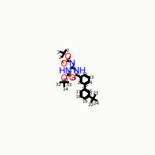 CC(C)(C)OC(=O)/N=C(/NCc1cccc(-c2cccc(C(C)(C)C)c2)c1)NC(=O)OC(C)(C)C